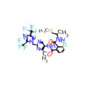 CSC[C@H](C)NC(=O)c1c(Cl)cccc1C(=O)Nc1cnc(Cn2nc(C(F)(F)F)nc2C(F)(F)F)nc1C